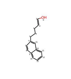 OC=CCCCc1ccc2ccccc2c1